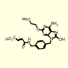 COCCOc1nc(N)c2nc(O)n(Cc3ccc(CNC(=O)/C=C/C(=O)O)cc3)c2n1